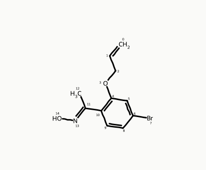 C=CCOc1cc(Br)ccc1C(C)=NO